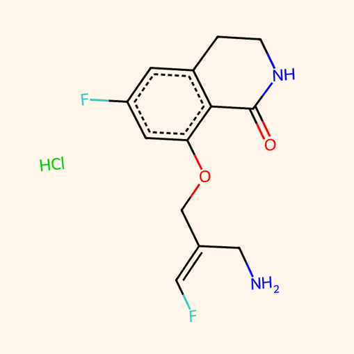 Cl.NC/C(=C\F)COc1cc(F)cc2c1C(=O)NCC2